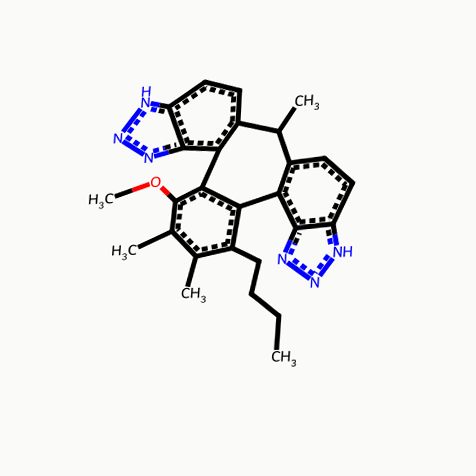 CCCCc1c(C)c(C)c(OC)c2c1-c1c(ccc3[nH]nnc13)C(C)c1ccc3[nH]nnc3c1-2